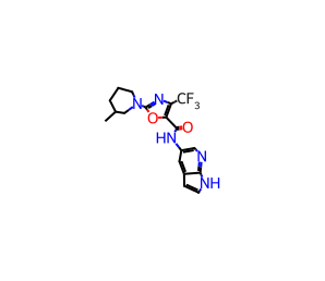 CC1CCCN(c2nc(C(F)(F)F)c(C(=O)Nc3cnc4[nH]ccc4c3)o2)C1